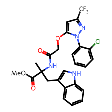 COC(=O)C(C)(Cc1c[nH]c2ccccc12)NC(=O)COc1cc(C(F)(F)F)nn1-c1ccccc1Cl